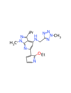 CCOc1ncccc1-c1cc(NCc2nnn(C)n2)c2c(C(C)C)nn(C)c2n1